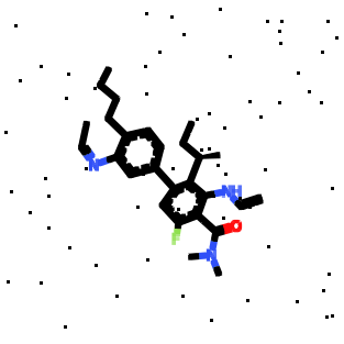 C=CNc1c(C(=O)N(C)C)c(F)cc(-c2ccc(CCCC)c(/N=C\C)c2)c1[C@H](C)CC